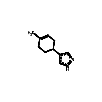 CC1=CCC(c2cn[nH]c2)CC1